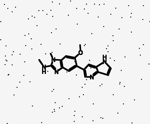 CNc1nc2cc(-c3cnc4cc[nH]c4c3)c(OC)cc2n1C